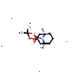 CC(C)(C)OC(=O)N1[C@@H]2CCC[C@H]1C[C@@H](O)C2